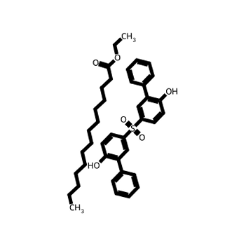 CCCCCCCCCCCCCC(=O)OCC.O=S(=O)(c1ccc(O)c(-c2ccccc2)c1)c1ccc(O)c(-c2ccccc2)c1